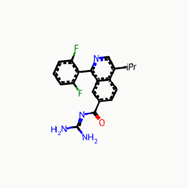 CC(C)c1cnc(-c2c(F)cccc2F)c2cc(C(=O)N=C(N)N)ccc12